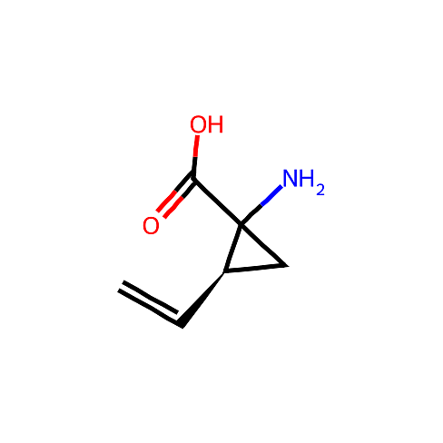 C=C[C@@H]1CC1(N)C(=O)O